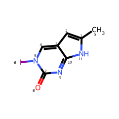 Cc1cc2cn(I)c(=O)nc2[nH]1